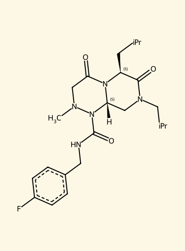 CC(C)C[C@H]1C(=O)N(CC(C)C)C[C@H]2N1C(=O)CN(C)N2C(=O)NCc1ccc(F)cc1